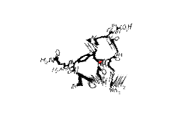 CC(C)CC1NC(=O)C(NC(=O)C(N)CCC(N)=O)C(C(C)C)c2ccc3c4c([nH]c3c2)-n2cnc(c2)CC(C(=O)NC(C(=O)O)C(C)C)NC(=O)CNC(=O)C(CCCN=C(N)N)NC(=O)C(C4)NC(=O)C(C(C)C)NC1=O